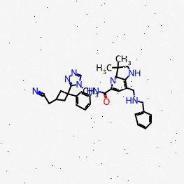 Cn1cnnc1C1(c2cccc(NC(=O)c3cc(CNCc4ccccc4)c4c(n3)C(C)(C)CN4)c2)CC(CC#N)C1